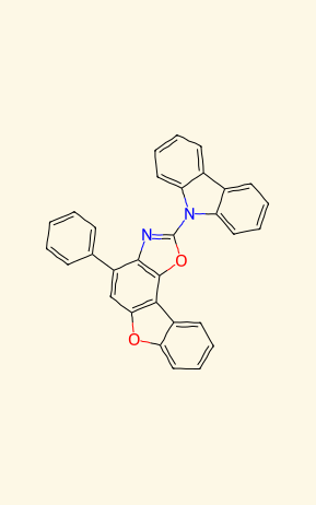 c1ccc(-c2cc3oc4ccccc4c3c3oc(-n4c5ccccc5c5ccccc54)nc23)cc1